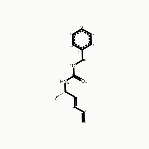 C=C/C=C/[C@H](C)NC(=O)OCc1ccccc1